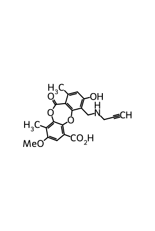 C#CCNCc1c(O)cc(C)c2c1Oc1c(C(=O)O)cc(OC)c(C)c1OC2=O